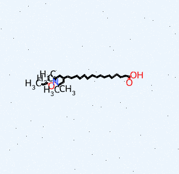 CCCON1C(C)(C)CC(CCCCCCCCCCCCCCCC(=O)O)CC1(C)C